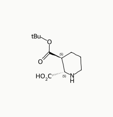 CC(C)(C)OC(=O)[C@H]1CCCN[C@@H]1C(=O)O